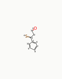 O=CCC(=S)c1ccccc1